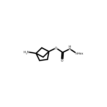 CCCCCCNC(=O)OC12CCC(N)(C1)C2